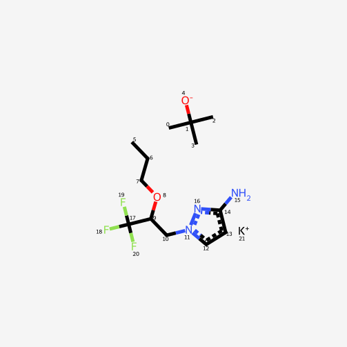 CC(C)(C)[O-].CCCOC(Cn1ccc(N)n1)C(F)(F)F.[K+]